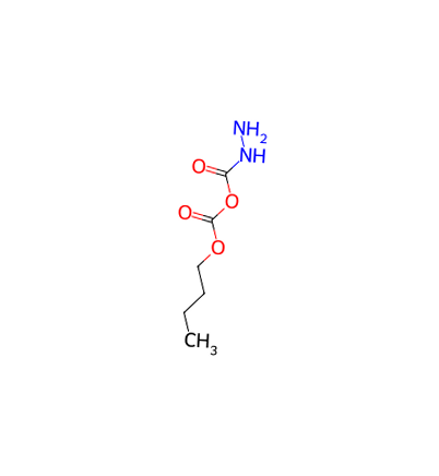 CCCCOC(=O)OC(=O)NN